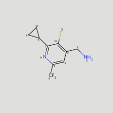 NCc1cc(C(F)(F)F)nc(C2CC2)c1F